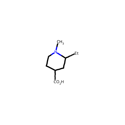 CCC1CC(C(=O)O)CCN1C